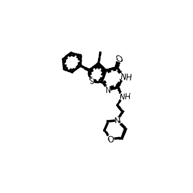 Cc1c(-c2ccccc2)sc2nc(NCCN3CCOCC3)[nH]c(=O)c12